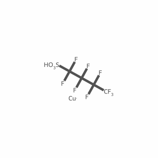 O=S(=O)(O)C(F)(F)C(F)(F)C(F)(F)C(F)(F)F.[Cu]